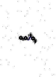 FC(F)(F)Oc1ccc(/C(=C\C=C/c2cccc(Oc3ccccc3)c2)C(F)(F)F)cc1